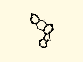 c1ccc2c(c1)Cc1c(ccc3oc4ccccc4c13)O2